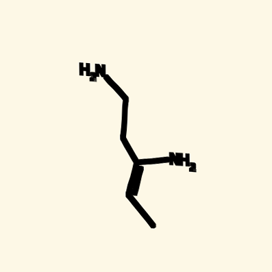 CC=C(N)CCN